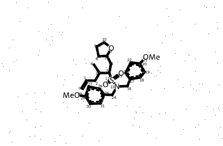 C=CCC(C)C(CC1CCCO1)S(=O)(=O)N(Cc1ccc(OC)cc1)Cc1ccc(OC)cc1